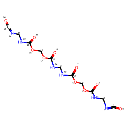 O=C=NCNC(=O)OCOC(=O)NCNC(=O)OCOC(=O)NCN=C=O